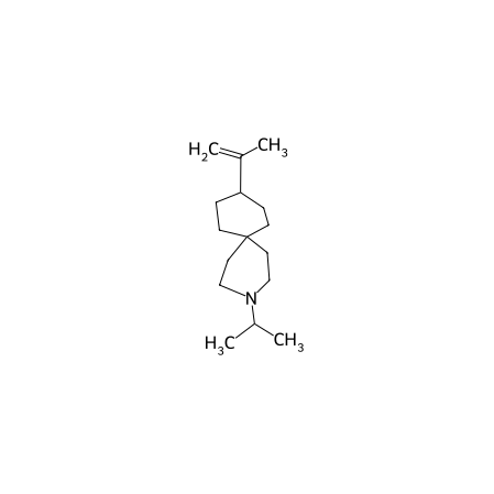 C=C(C)C1CCC2(CC1)CCN(C(C)C)CC2